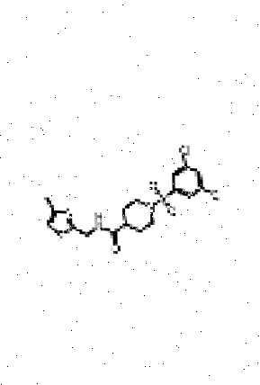 Cc1csc(CNC(=O)C2CCN(S(=O)(=O)c3cc(Cl)cc(Cl)c3)CC2)n1